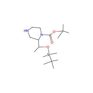 CC(O[Si](C)(C)C(C)(C)C)C1CNCCN1C(=O)OC(C)(C)C